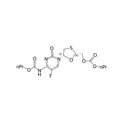 CCCOC(=O)Nc1nc(=O)n([C@@H]2CS[C@H](COC(=O)OCCC)O2)cc1F